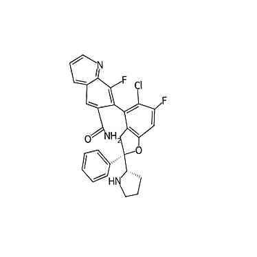 NC(=O)c1cc2cccnc2c(F)c1-c1c(Cl)c(F)cc2c1C[C@](c1ccccc1)([C@@H]1CCCN1)O2